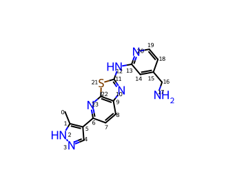 Cc1[nH]ncc1-c1ccc2nc(Nc3cc(CN)ccn3)sc2n1